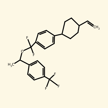 C=CC1CCC(c2ccc(C(F)(F)OC(C)c3ccc(C(F)(F)F)cc3)cc2)CC1